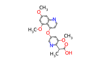 COc1cc(OC)c2c(Oc3cnc(C(C)C(=O)O)c(OC)c3)ccnc2c1